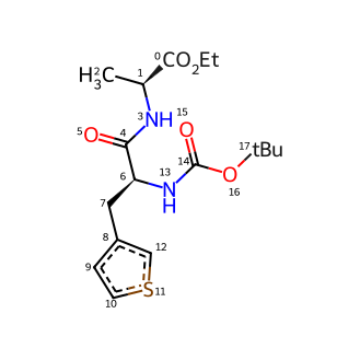 CCOC(=O)[C@H](C)NC(=O)[C@H](Cc1ccsc1)NC(=O)OC(C)(C)C